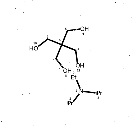 CCN(C(C)C)C(C)C.OCC(CO)(CO)CO